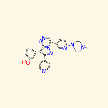 CN1CCN(c2ccc(-c3cnnc4c(-c5cccc(O)c5)c(-c5ccncc5)nn34)cn2)CC1